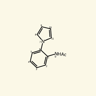 CC(=O)Nc1ccccc1-n1cccc1